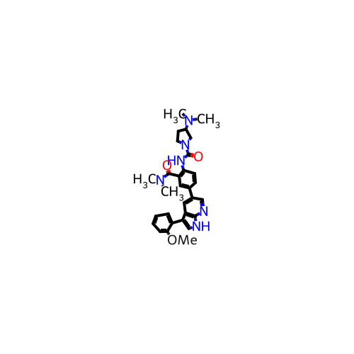 COc1ccccc1-c1c[nH]c2ncc(-c3ccc(NC(=O)N4CCC(N(C)C)C4)c(C(=O)N(C)C)c3)cc12